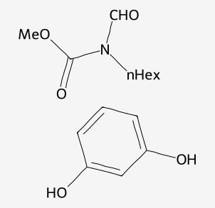 CCCCCCN(C=O)C(=O)OC.Oc1cccc(O)c1